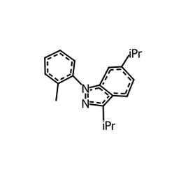 Cc1ccccc1-n1nc(C(C)C)c2ccc(C(C)C)cc21